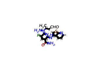 C[C@H](CC=O)N(N)c1nc(Nc2csc3ncccc23)c(C(N)=O)cc1F